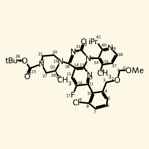 COCOCc1cccc(Cl)c1-c1nc2c(cc1F)c(N1CCN(C(=O)OC(C)(C)C)C[C@@H]1C)nc(=O)n2-c1c(C)ccnc1C(C)C